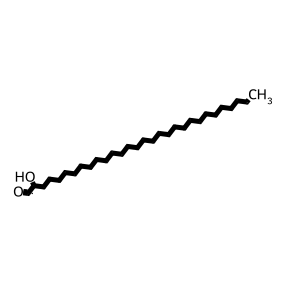 CCCCCCCCCCCCCCCCCCCCCCCCCCCCC(O)[C]=O